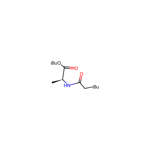 CCC(C)CC(=O)N[C@@H](C)C(=O)OCC(C)C